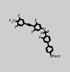 CCCCCc1ccc(-c2ccc(C(F)(F)Oc3cc(F)c(C#Cc4cc(F)c(C(F)(F)F)c(F)c4)c(F)c3)c(F)c2)cc1